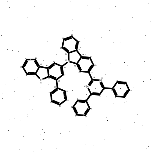 c1ccc(-c2cc(-c3ccccc3)nc(-c3ccc4c5ccccc5n(-c5cc(-c6ccccc6)c6oc7ccccc7c6c5)c4c3)n2)cc1